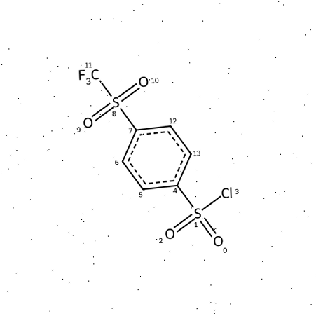 O=S(=O)(Cl)c1ccc(S(=O)(=O)C(F)(F)F)cc1